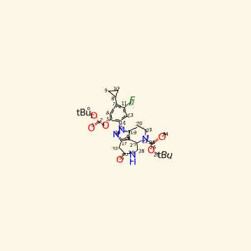 CC(C)(C)OC(=O)Oc1cc(C2CC2)c(F)cc1-n1nc2c3c1CCN(C(=O)OC(C)(C)C)C3CNC(=O)C2